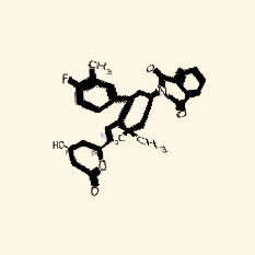 Cc1cc(C2=C(/C=C/[C@@H]3C[C@@H](O)CC(=O)O3)C(C)(C)CC(N3C(=O)c4ccccc4C3=O)C2)ccc1F